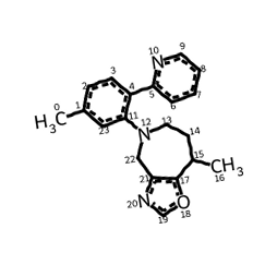 Cc1ccc(-c2ccccn2)c(N2CCC(C)c3ocnc3C2)c1